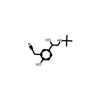 CC(C)(C)NCC(O)c1ccc(O)c(CC#N)c1